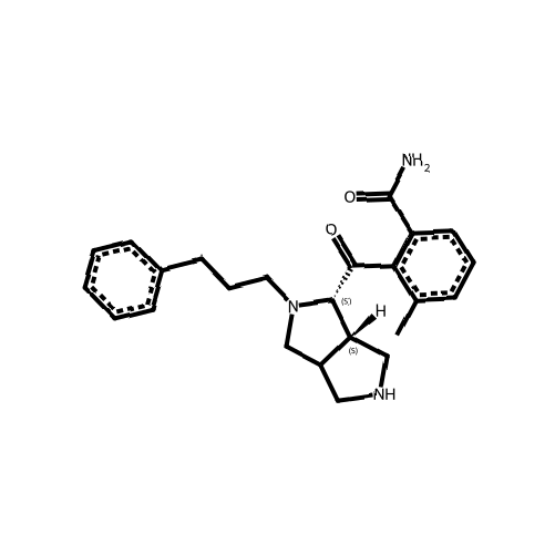 Cc1cccc(C(N)=O)c1C(=O)[C@@H]1[C@@H]2CNCC2CN1CC[CH]c1ccccc1